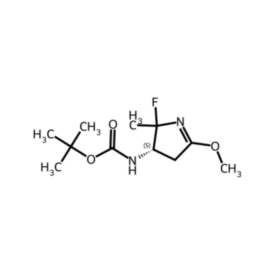 COC1=NC(C)(F)[C@@H](NC(=O)OC(C)(C)C)C1